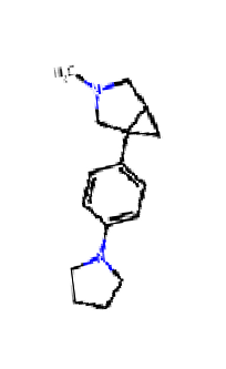 CN1CC2CC2(c2ccc(N3CCCC3)cc2)C1